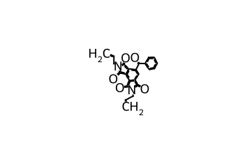 C=CCn1c(=O)c2cc(C(=O)c3ccccc3)c3c(=O)n(CC=C)c(=O)c3c2c1=O